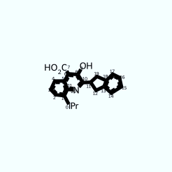 CC(C)c1cccc2c(C(=O)O)c(O)c(C3Cc4ccccc4C3)nc12